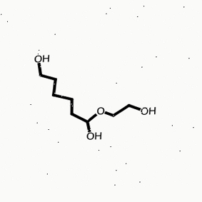 OCCCCCC(O)OCCO